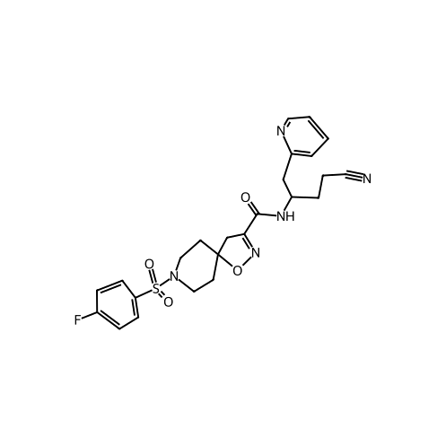 N#CCCC(Cc1ccccn1)NC(=O)C1=NOC2(CCN(S(=O)(=O)c3ccc(F)cc3)CC2)C1